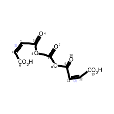 O=C(O)/C=C\C(=O)OC(=O)OC(=O)/C=C\C(=O)O